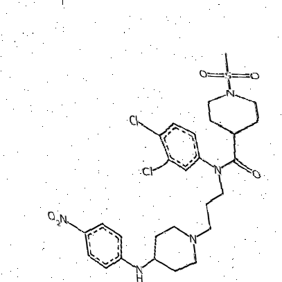 CS(=O)(=O)N1CCC(C(=O)N(CCCN2CCC(Nc3ccc([N+](=O)[O-])cc3)CC2)c2ccc(Cl)c(Cl)c2)CC1